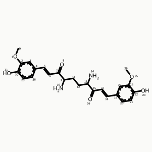 COc1cc(C=CC(=O)C(N)CCC(N)C(=O)C=Cc2ccc(O)c(OC)c2)ccc1O